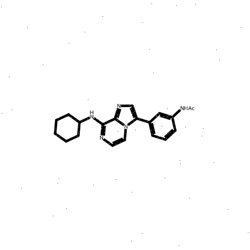 CC(=O)Nc1cccc(-c2cnc3c(NC4CCCCC4)nccn23)c1